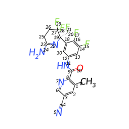 Cc1cc(C#N)cnc1C(=O)Nc1cc(F)c(F)c([C@@]2(CF)N=C(N)CCC2(F)F)c1